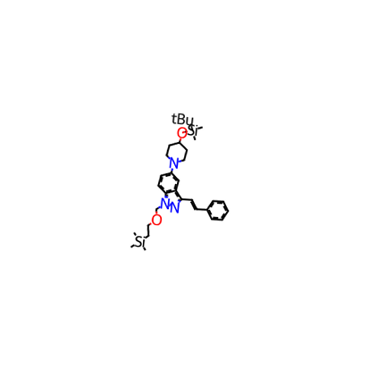 CC(C)(C)[Si](C)(C)OC1CCN(c2ccc3c(c2)c(C=Cc2ccccc2)nn3COCC[Si](C)(C)C)CC1